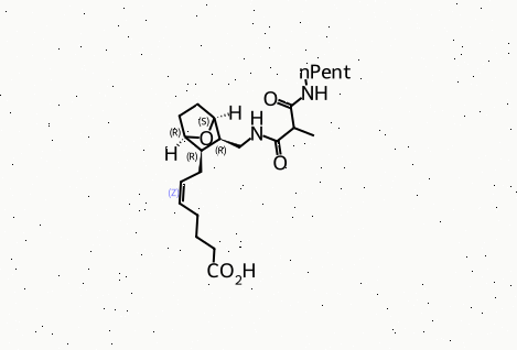 CCCCCNC(=O)C(C)C(=O)NC[C@H]1[C@@H](C/C=C\CCCC(=O)O)[C@H]2CC[C@@H]1O2